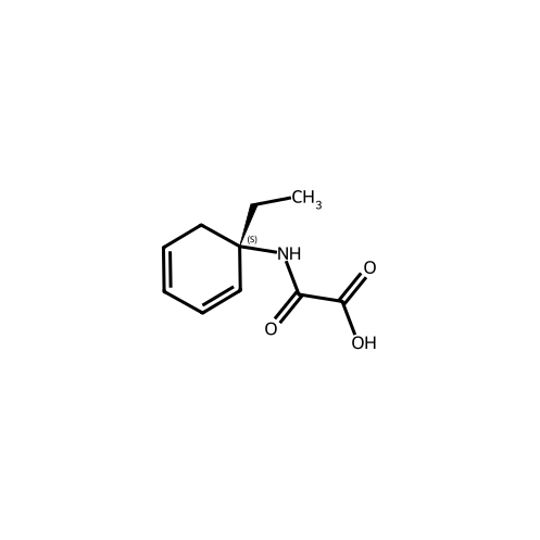 CC[C@@]1(NC(=O)C(=O)O)C=CC=CC1